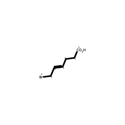 O=C(O)CCC=CCBr